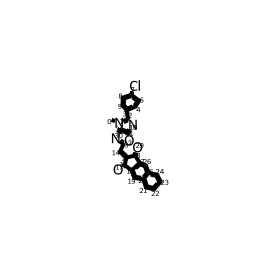 Cn1c(-c2ccc(Cl)cc2)nc2oc(C=C3C(=O)c4cc5ccccc5cc4C3=O)nc21